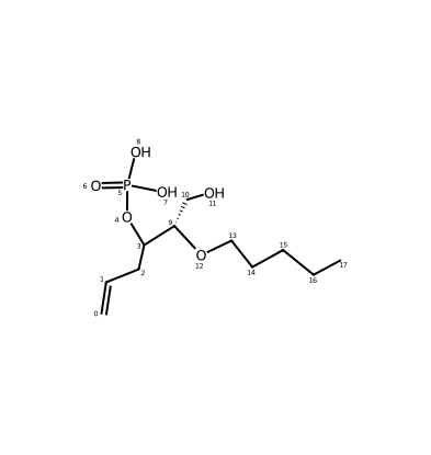 C=CCC(OP(=O)(O)O)[C@H](CO)OCCCCC